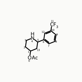 CC(=O)OC1CCNC(c2cccc(C(F)(F)F)c2)C1